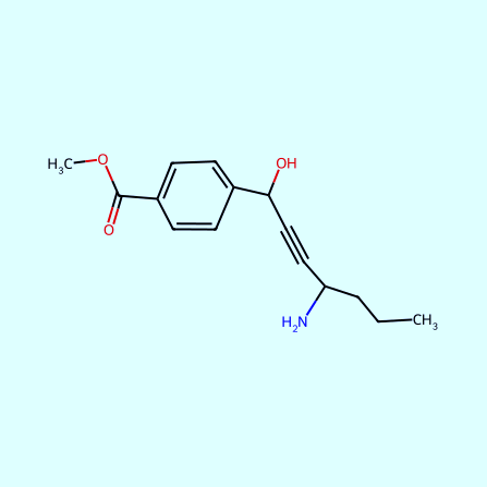 CCCC(N)C#CC(O)c1ccc(C(=O)OC)cc1